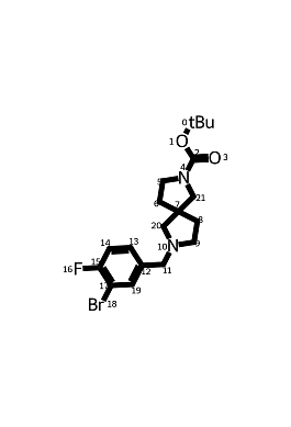 CC(C)(C)OC(=O)N1CCC2(CCN(Cc3ccc(F)c(Br)c3)C2)C1